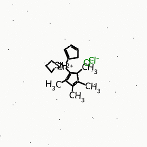 CC1=C(C)C(C)[C]([Zr+2]([C]2=CC=CC2)[SiH]2CCC2)=C1C.[Cl-].[Cl-]